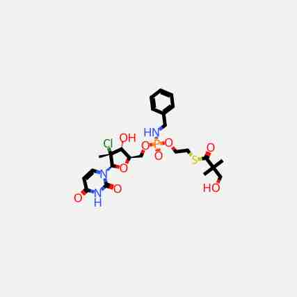 CC(C)(CO)C(=O)SCCOP(=O)(NCc1ccccc1)OC[C@H]1O[C@@H](n2ccc(=O)[nH]c2=O)[C@](C)(Cl)[C@@H]1O